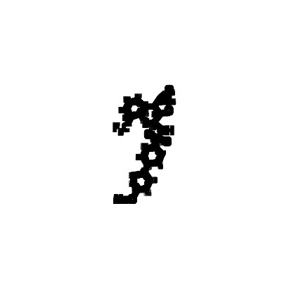 COc1ccc(-c2ccc(S(=O)(=O)NC(Sc3ncccc3C(F)(F)F)C3CC4OC4O3)cc2)cc1